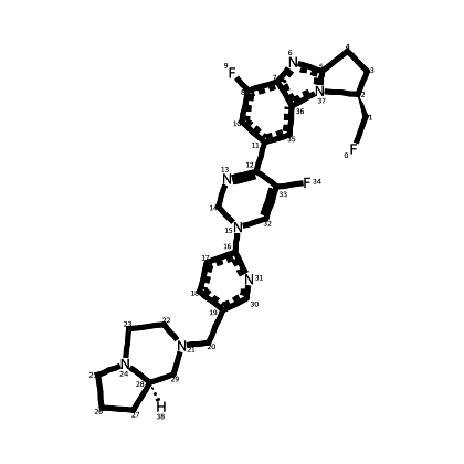 FC[C@@H]1CCc2nc3c(F)cc(C4=NCN(c5ccc(CN6CCN7CCC[C@@H]7C6)cn5)C=C4F)cc3n21